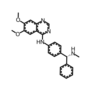 CN[C@H](c1ccccc1)c1ccc(Nc2ncnc3cc(OC)c(OC)cc23)cc1